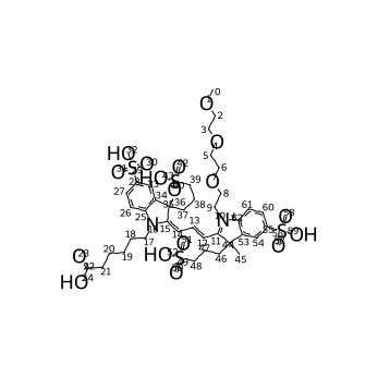 COCCOCCOCC[N+]1=C(/C=C/C=C2/N(CCCCCC(=O)O)c3ccc(S(=O)(=O)O)cc3C2(C)CCCS(=O)(=O)O)C(C)(CCCS(=O)(=O)O)c2cc(S(=O)(=O)O)ccc21